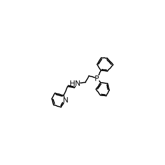 C(=C\c1ccccn1)/NCCP(c1ccccc1)c1ccccc1